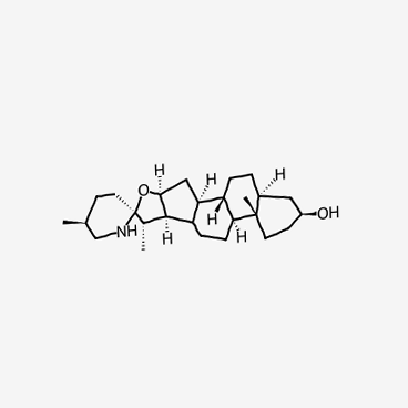 C[C@H]1CC[C@]2(NC1)O[C@H]1C[C@@H]3C(CC[C@H]4[C@H]3CC[C@H]3C[C@@H](O)CC[C@@]34C)[C@H]1[C@@H]2C